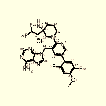 COc1cc(F)c(-c2cnc(N3CCC[C@](N)([C@H](O)C(F)F)C3)c(Cn3cnc4c(N)ncnc43)c2)cc1F